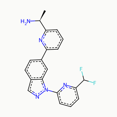 C[C@H](N)c1cccc(-c2ccc3cnn(-c4cccc(C(F)F)n4)c3c2)n1